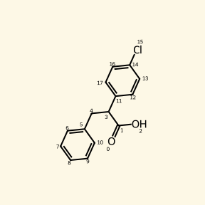 O=C(O)C(Cc1ccccc1)c1ccc(Cl)cc1